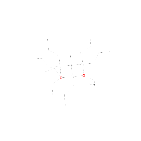 CCO[Si](OCC)(OCC)C(C)([Si](OCC)(OCC)OCC)[Si](OCC)(OCC)OCC